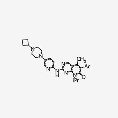 CC(=O)c1c(C)c2cnc(Nc3ccc(N4CCN(C5CCC5)CC4)cn3)nc2n(C(C)C)c1=O